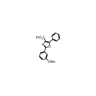 CCOC(=O)c1nc(-c2cccc(OC)c2)oc1-c1ccccc1